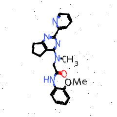 COc1ccccc1NC(=O)CN(C)c1nc(-c2ccccn2)nc2c1CCC2